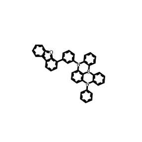 c1ccc(N2c3ccccc3B3c4ccccc4N(c4cccc(-c5cccc6c5oc5ccccc56)c4)c4cccc2c43)cc1